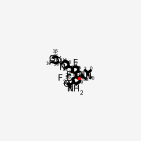 CC1CN(c2cc(F)c(-c3ccc(N4C[C@@H](C)O[C@@H](C)C4)nc3)c(F)c2-c2c(F)ccc(C(N)=O)c2C(F)(F)F)CCN1C